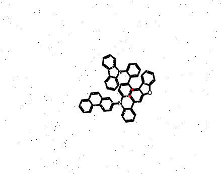 c1ccc(N(c2ccc(-c3ccccc3-n3c4ccccc4c4ccccc43)cc2)c2ccc3c(ccc4ccccc43)c2)c(-c2ccc3c(c2)oc2ccccc23)c1